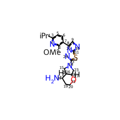 COc1nc(C(C)C)ccc1-c1cnc2sc(N3C[C@@H]4[C@@H](N)CCO[C@@H]4C3)nn12